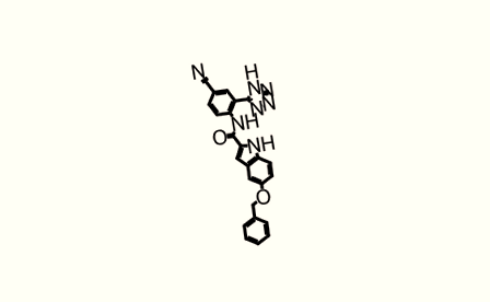 N#Cc1ccc(NC(=O)c2cc3cc(OCc4ccccc4)ccc3[nH]2)c(-c2nnn[nH]2)c1